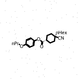 CCCCCC[C@]1(C#N)CC[C@H](C(=O)Oc2ccc(OCCC)cc2)CC1